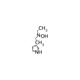 CCN(O)CC.c1cc[nH]c1